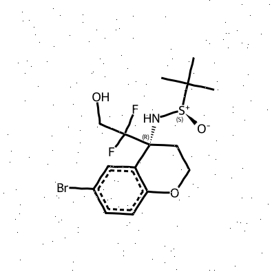 CC(C)(C)[S@@+]([O-])N[C@]1(C(F)(F)CO)CCOc2ccc(Br)cc21